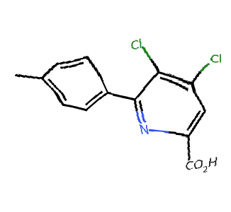 Cc1ccc(-c2nc(C(=O)O)cc(Cl)c2Cl)cc1